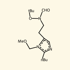 CCCCc1ncc(CCN(C=O)OC(C)(C)C)n1COC